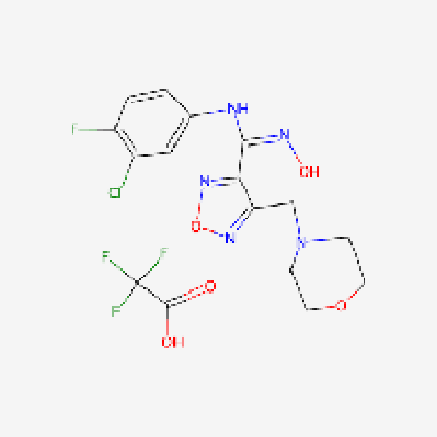 O/N=C(/Nc1ccc(F)c(Cl)c1)c1nonc1CN1CCOCC1.O=C(O)C(F)(F)F